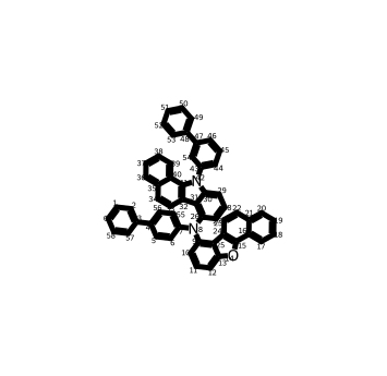 c1ccc(-c2ccc(N(c3cccc4oc5c6ccccc6ccc5c34)c3cccc4c3c3ccc5ccccc5c3n4-c3cccc(-c4ccccc4)c3)cc2)cc1